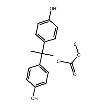 CC(C)(c1ccc(O)cc1)c1ccc(O)cc1.O=C(Cl)OCl